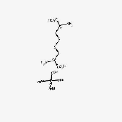 CCCC[PH](CCCC)(CCCC)CCCC.N[C@@H](CSSC[C@H](N)C(=O)O)C(=O)O